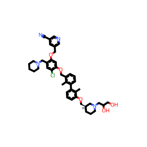 Cc1c(COc2cc(OCc3cncc(C#N)c3)c(CN3CCCCC3)cc2Cl)cccc1-c1cccc(OC[C@@H]2CCCN(CC(O)CO)C2)c1C